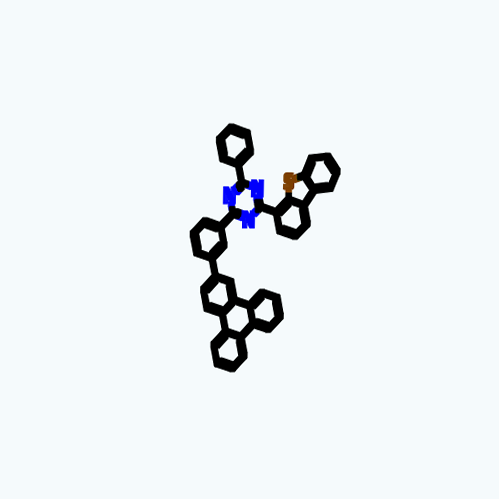 c1ccc(-c2nc(-c3cccc(-c4ccc5c6ccccc6c6ccccc6c5c4)c3)nc(-c3cccc4c3sc3ccccc34)n2)cc1